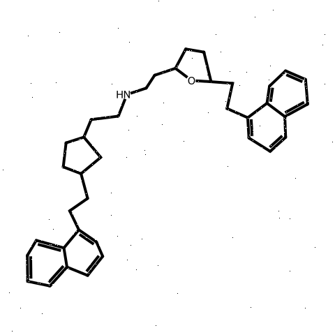 c1ccc2c(CCC3CCC(CCNCCC4CCC(CCc5cccc6ccccc56)O4)C3)cccc2c1